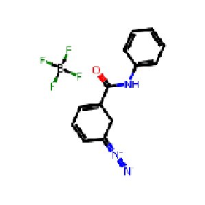 F[B-](F)(F)F.[N-]=[N+]=C1C=CC=C(C(=O)Nc2ccccc2)C1